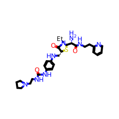 CCN1C(=O)[C@@H](CNc2ccc(NC(=O)NCCN3CCCC3)cc2)SC1[C@H](N)C(=O)NCCc1ccccn1